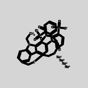 CCn1c2ccc3cc2c2c4c(c(N(C=O)c5ccccc5P(=O)([O-])[O-])c(c21)N(C=O)c1cc(ccc1P(=O)([O-])[O-])CC4)CC3.[Na+].[Na+].[Na+].[Na+]